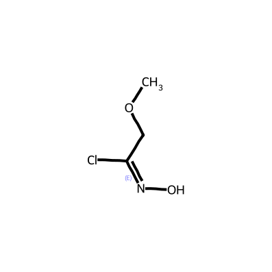 COC/C(Cl)=N\O